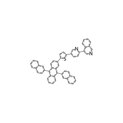 c1ccc2cc(-c3c4ccccc4c(-c4ccc5ccccc5c4)c4cc(-c5ccc(-c6ccc(-c7cncc8ccccc78)nc6)s5)ccc34)ccc2c1